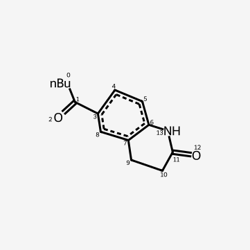 CCCCC(=O)c1ccc2c(c1)CCC(=O)N2